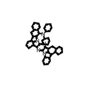 c1ccc(N(c2ccccc2)c2c3ccccc3cc3c4cccc5c6nc7c(nc6n(c23)c45)c2cc3ccccc3c3c4ccccc4n7c23)cc1